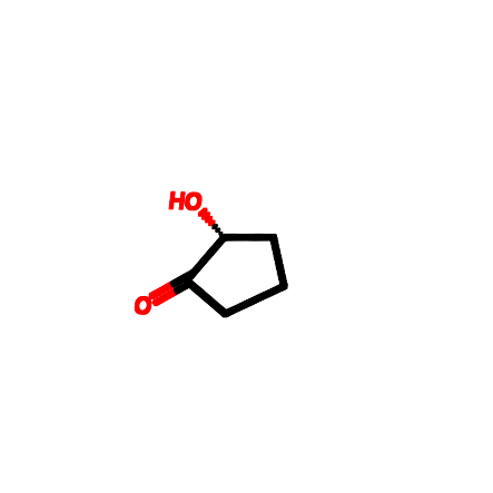 O=C1CCC[C@H]1O